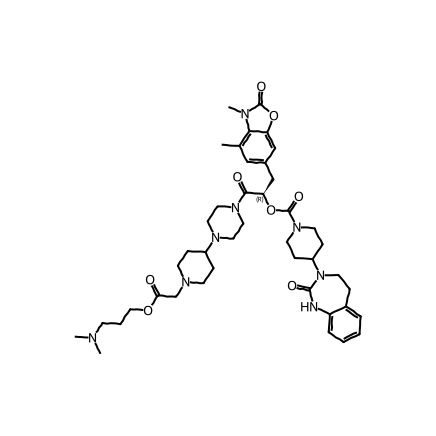 Cc1cc(C[C@@H](OC(=O)N2CCC(N3CCc4ccccc4NC3=O)CC2)C(=O)N2CCN(C3CCN(CC(=O)OCCCN(C)C)CC3)CC2)cc2oc(=O)n(C)c12